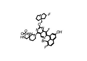 O=S1(=O)NCC2(CCCN(c3nc(OC[C@@]45CCCN4C[C@H](F)C5)nc4c(F)c(-c5cc(O)cc6ccc(F)c(Br)c56)ncc34)C2)N1